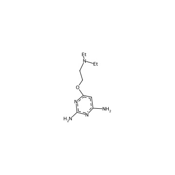 CCN(CC)CCOc1cc(N)nc(N)n1